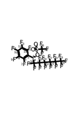 O=S(=O)(O[I+](c1c(F)c(F)c(F)c(F)c1F)C(F)(F)C(F)(F)C(F)(F)C(F)(F)C(F)(F)C(F)(F)F)C(F)(F)F